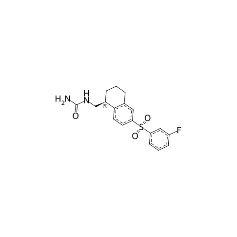 NC(=O)NC[C@H]1CCCc2cc(S(=O)(=O)c3cccc(F)c3)ccc21